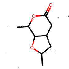 CC1CC2CC(=O)OC(C)C2O1